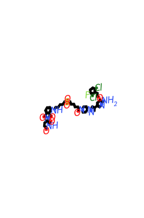 Nc1ncc(-c2cnn(C3CCN(C(=O)CCCCCS(=O)(=O)CCCCCNc4cccc5c4C(=O)N([C@@H]4CCC(=O)NC4=O)C5=O)CC3)c2)cc1OCCc1c(Cl)ccc(F)c1Cl